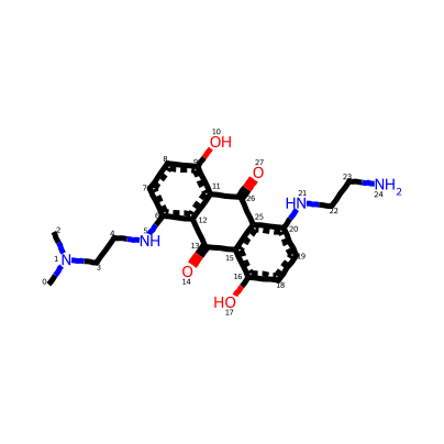 CN(C)CCNc1ccc(O)c2c1C(=O)c1c(O)ccc(NCCN)c1C2=O